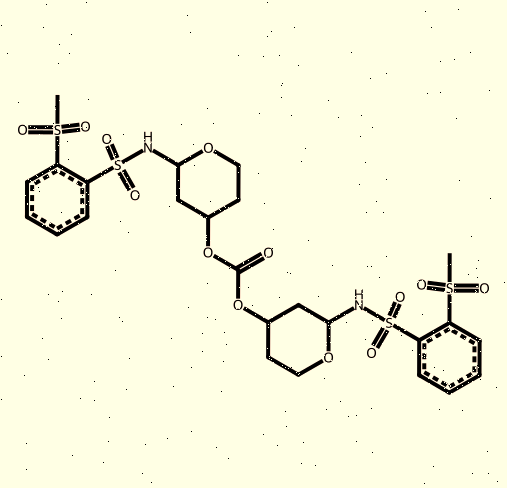 CS(=O)(=O)c1ccccc1S(=O)(=O)NC1CC(OC(=O)OC2CCOC(NS(=O)(=O)c3ccccc3S(C)(=O)=O)C2)CCO1